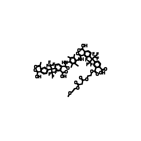 COCCOC(=O)CC(=O)OCCOC(=O)c1cc(C(c2ccc(C(=O)O)c(C(=O)Nc3c(C)c(C)c(NC(=O)c4ccc(C(c5ccc(C(=O)O)c(C(C)=O)c5)(C(F)(F)F)C(F)(F)F)cc4C(=O)O)c(C)c3C)c2)(C(F)(F)F)C(F)(F)F)ccc1C(=O)O